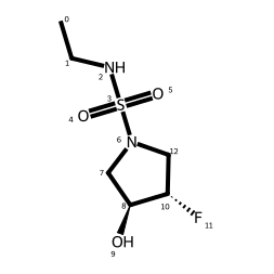 CCNS(=O)(=O)N1C[C@H](O)[C@@H](F)C1